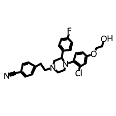 N#Cc1ccc(CCN2CCN(c3ccc(OCCO)cc3Cl)C(c3ccc(F)cc3)C2)cc1